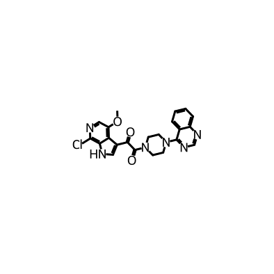 COc1cnc(Cl)c2[nH]cc(C(=O)C(=O)N3CCN(c4ncnc5ccccc45)CC3)c12